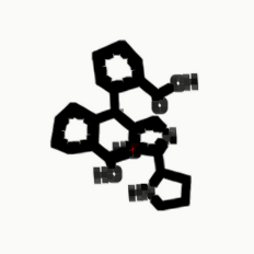 O=C(O)c1ccccc1[C](c1cnc(C2CCCN2)[nH]1)c1ccccc1C(=O)O